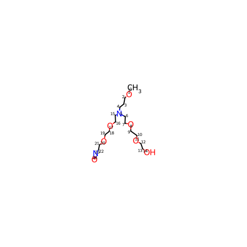 COCCCN(CCOCCOCCO)CCOCCOCCN=O